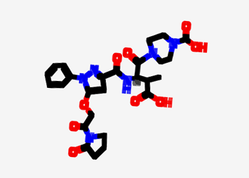 CC(C(=O)O)[C@H](NC(=O)c1cc(OCC(=O)N2CCCC2=O)n(-c2ccccc2)n1)C(=O)N1CCN(C(=O)O)CC1